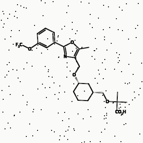 Cc1oc(-c2cccc(OC(F)(F)F)c2)nc1CO[C@H]1CCC[C@@H](COC(C)(C)C(=O)O)C1